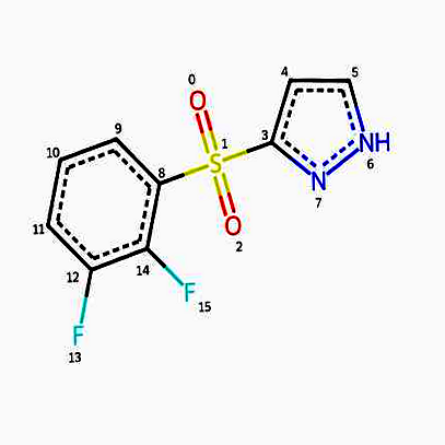 O=S(=O)(c1cc[nH]n1)c1cccc(F)c1F